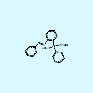 CCCCCCC[N+](CCCCCCC)(c1ccccc1)c1ccccc1N=Nc1ccccc1